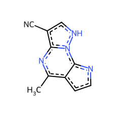 Cc1nc2c(C#N)c[nH]n2c2nccc1-2